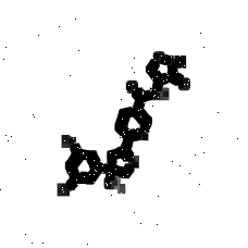 O=C(NC1CONC1=O)c1ccc(C2=NCC(c3cc(Br)cc(Br)c3)(C(F)(F)F)C2)nc1